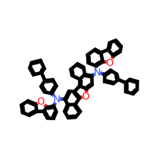 c1ccc(-c2ccc(N(c3cc4c(oc5cc(N(c6ccc(-c7ccccc7)cc6)c6cccc7c6oc6ccccc67)c6ccccc6c54)c4ccccc34)c3cccc4c3oc3ccccc34)cc2)cc1